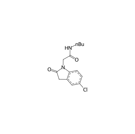 CCCCNC(=O)CN1C(=O)Cc2cc(Cl)ccc21